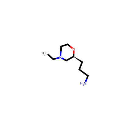 CCN1CCO[C@@H](CCCN)C1